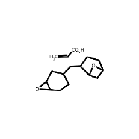 C1CC2OC2CC1CC1CCC2CC1O2.C=CC(=O)O